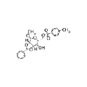 CO[C@H]1O[C@H](COS(=O)(=O)c2ccc(C)cc2)[C@@H](O)[C@@H]2O[C@H](c3ccccc3)O[C@H]12